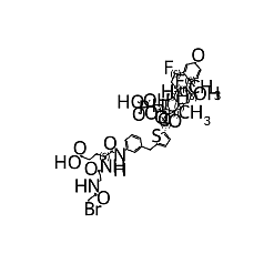 C[C@]12C=CC(=O)C=C1[C@@H](F)C[C@H]1[C@@H]3C[C@H]4O[C@@H](c5ccc(Cc6cccc(NC(=O)[C@H](CCC(=O)O)NC(=O)CNC(=O)CBr)c6)s5)O[C@@]4(C(=O)COP(=O)(O)O)[C@@]3(C)C[C@H](O)[C@@]12F